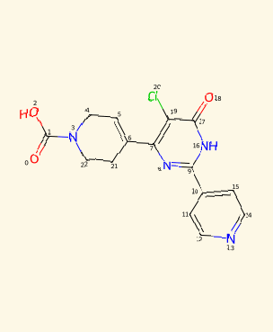 O=C(O)N1CC=C(c2nc(-c3ccncc3)[nH]c(=O)c2Cl)CC1